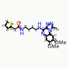 COc1cc2nc(NCCCCNC(=O)Cc3cccs3)c3nnc(C)n3c2cc1OC